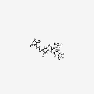 CCCCN(Cc1ccc(OCCN2C(=O)CCC2=O)c(C)c1)C(CC(=O)O)c1ccc2c(c1)CCO2